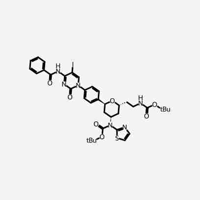 CC(C)(C)OC(=O)NCC[C@@H]1C[C@H](N(C(=O)OC(C)(C)C)c2nccs2)C[C@@H](c2ccc(-n3cc(I)c(NC(=O)c4ccccc4)nc3=O)cc2)O1